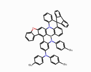 CC(C)(C)c1ccc(N2B3c4cccc5c4N(c4ccccc4C54c5ccccc5-c5ccccc54)c4cc5oc6ccccc6c5c(c43)-c3ccc(N(c4ccc(C(C)(C)C)cc4)c4ccc(C(C)(C)C)cc4)cc32)cc1